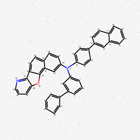 c1ccc(-c2cccc(N(c3ccc(-c4ccc5ccccc5c4)cc3)c3ccc4ccc5c6ncccc6oc5c4c3)c2)cc1